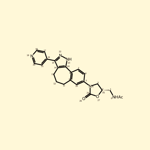 CC(=O)NC[C@H]1CN(c2ccc3c(c2)CCCc2c(-c4ccncc4)n[nH]c2-3)C(=O)O1